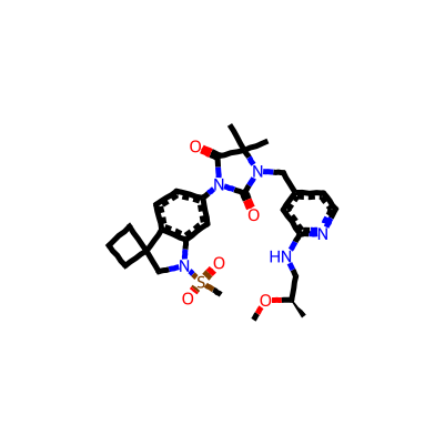 CO[C@H](C)CNc1cc(CN2C(=O)N(c3ccc4c(c3)N(S(C)(=O)=O)CC43CCC3)C(=O)C2(C)C)ccn1